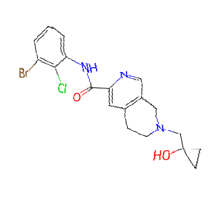 O=C(Nc1cccc(Br)c1Cl)c1cc2c(cn1)CN(CC1(O)CC1)CC2